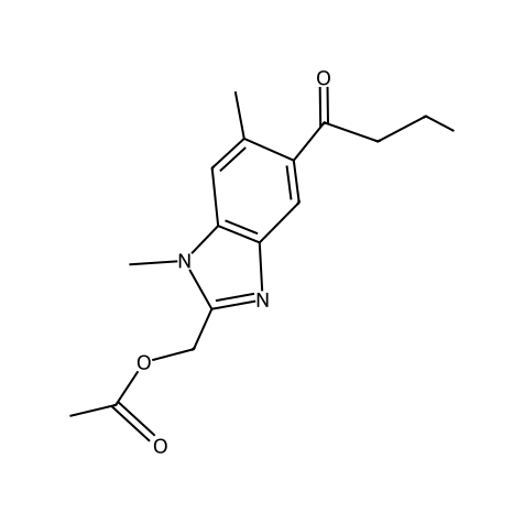 CCCC(=O)c1cc2nc(COC(C)=O)n(C)c2cc1C